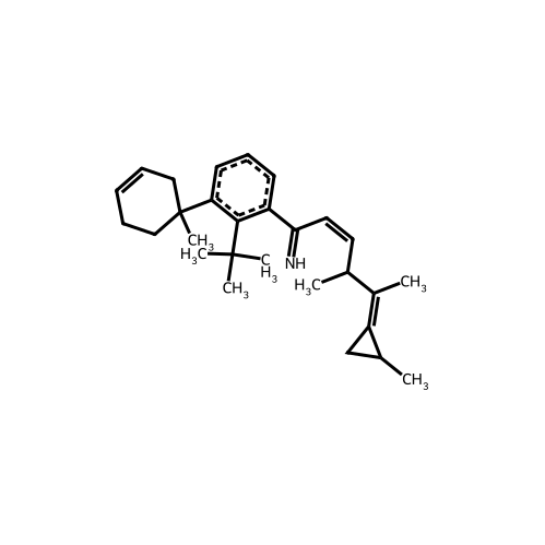 C/C(=C1/CC1C)C(C)/C=C\C(=N)c1cccc(C2(C)CC=CCC2)c1C(C)(C)C